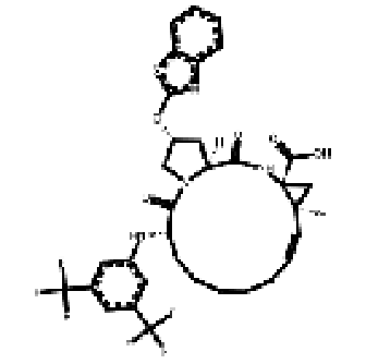 O=C1N[C@]2(C(=O)O)C[C@H]2/C=C\CCCCC[C@H](Nc2cc(C(F)(F)F)cc(C(F)(F)F)c2)C(=O)N2C[C@H](Oc3nc4ccccc4s3)C[C@@H]12